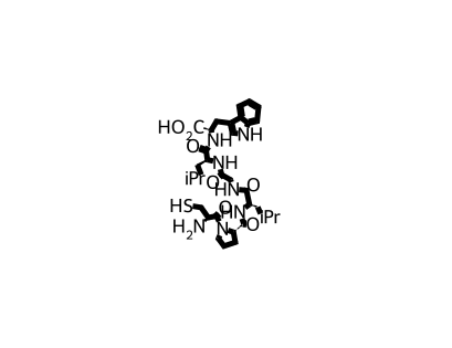 CC(C)C[C@H](NC(=O)CNC(=O)[C@H](CC(C)C)NC(=O)[C@@H]1CCCN1C(=O)[C@@H](N)CS)C(=O)N[C@@H](Cc1c[nH]c2ccccc12)C(=O)O